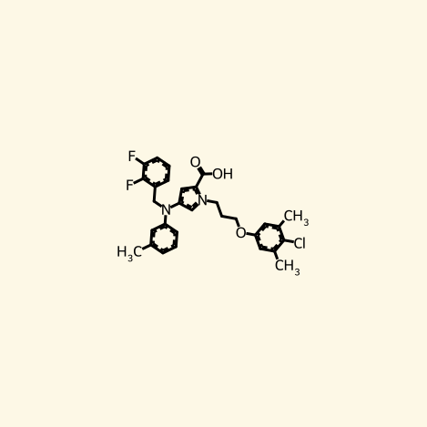 Cc1cccc(N(Cc2cccc(F)c2F)c2cc(C(=O)O)n(CCCOc3cc(C)c(Cl)c(C)c3)c2)c1